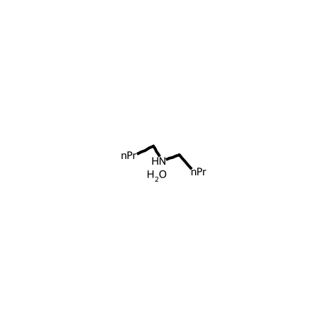 CCCCNCCCC.O